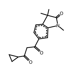 CN1C(=O)C(C)(C)c2ccc(C(=O)CC(=O)C3CC3)cc21